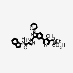 CCN(Cc1cncc(-c2ccc3c(c2)c(-c2ncc(C(=O)N[C@@H]4CCc5ccccc54)[nH]2)nn3C2CCCCO2)c1C)C(=O)O